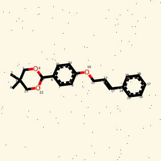 CC1(C)COC(c2ccc(OCC=Cc3ccccc3)cc2)OC1